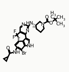 CC(C)(C)OC(=O)N1CCC[C@H](Nc2ncc(C(F)(F)F)c(-c3c[nH]c4c(Br)c(NC(=O)C5CC5)ccc34)n2)C1